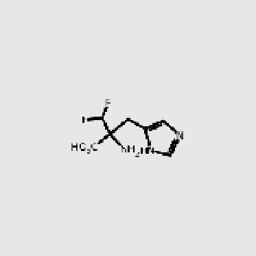 NC(Cc1cnc[nH]1)(C(=O)O)C(F)F